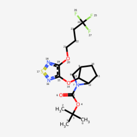 CC(C)(C)OC(=O)N1CC2CCC1C2Oc1nsnc1OCCCC(F)(F)F